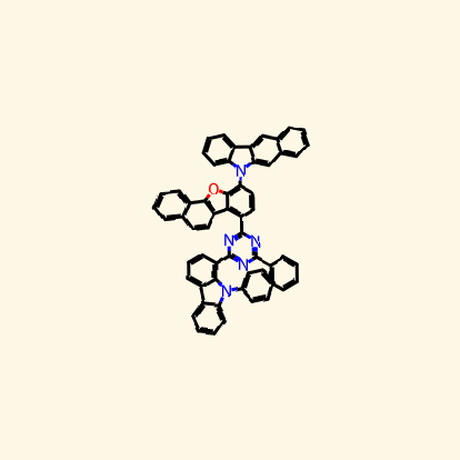 c1ccc(-c2nc(-c3ccc(-n4c5ccccc5c5cc6ccccc6cc54)c4oc5c6ccccc6ccc5c34)nc(-c3cccc4c5ccccc5n(-c5ccccc5)c34)n2)cc1